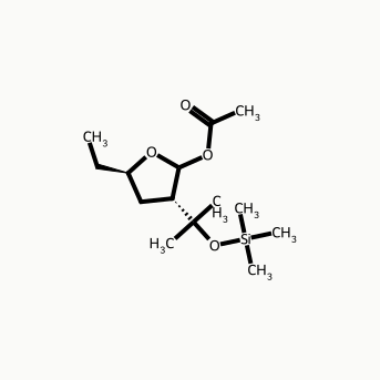 CC[C@@H]1C[C@@H](C(C)(C)O[Si](C)(C)C)C(OC(C)=O)O1